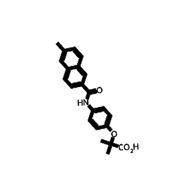 Cc1ccc2cc(C(=O)Nc3ccc(OC(C)(C)C(=O)O)cc3)ccc2c1